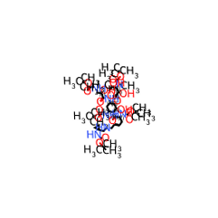 CN(C(=O)OC(C)(C)C)[C@@H]1[C@@H](O)[C@@H](O[C@H]2[C@H](NC(=O)[C@@H](O)CNC(=O)OC(C)(C)C)C[C@H](NC(=O)OC(C)(C)C)C([C@H]3OC(CNCC4(NC(=O)OC(C)(C)C)CC4)=CC[C@H]3NC(=O)OC(C)(C)C)[C@@H]2O)OC[C@]1(C)O